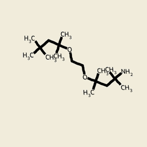 CC(C)(C)CC(C)(C)OCCOC(C)(C)CC(C)(C)N